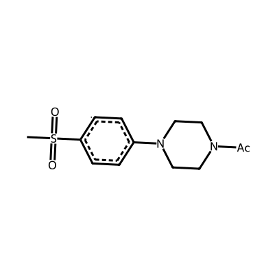 CC(=O)N1CCN(c2c[c]c(S(C)(=O)=O)cc2)CC1